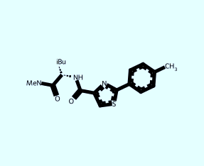 CC[C@@H](C)[C@H](NC(=O)c1csc(-c2ccc(C)cc2)n1)C(=O)NC